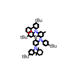 Cc1cc2c3c(c1)N(c1ccc(C(C)(C)C)cc1-c1ccccc1)c1ccc(C(C)(C)C)cc1B3c1ccc(N3c4ccc(C(C)(C)C)cc4C4(C)CCCCC34C)cc1N2c1ccc(C(C)(C)C)cc1